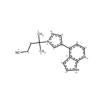 CC(C)(CCC#N)n1cc(-c2ccnc3[nH]ccc23)cn1